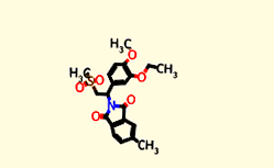 CCOc1cc(C(CS(C)(=O)=O)N2C(=O)c3ccc(C)cc3C2=O)ccc1OC